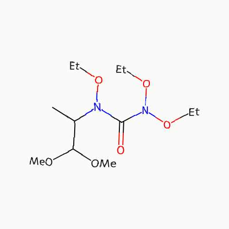 CCON(OCC)C(=O)N(OCC)C(C)C(OC)OC